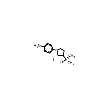 CC[N+](C)(C)C1CCN(c2ccc(N)cc2)C1.[I-]